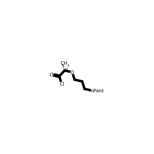 CCCCCCCCO[C@@H](C)C(=O)Cl